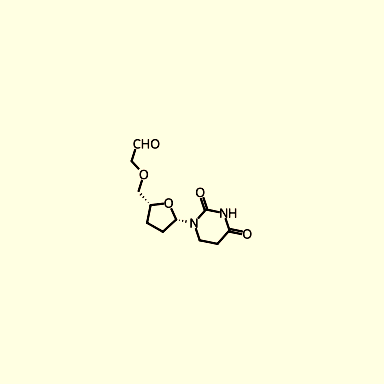 O=CCOC[C@H]1CC[C@@H](N2CCC(=O)NC2=O)O1